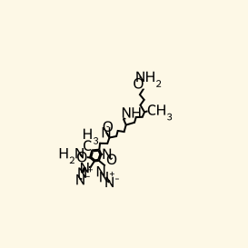 Cc1c(CCC(CCCC(C=N)CCCC(C)CCCCON)N=O)c(N=O)c(CN=[N+]=[N-])c(CN=[N+]=[N-])c1ON